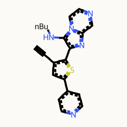 C#Cc1cc(-c2ccncc2)sc1-c1nc2cnccn2c1NCCCC